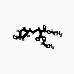 CCOC(=O)C(CCCc1ccc(Cl)cc1)C(=O)OCC